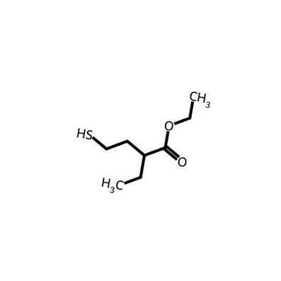 CCOC(=O)C(CC)CCS